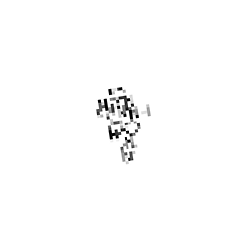 CN1CCN(c2ccc(Nc3nc(N4N=CCC4c4cccnc4)c4sccc4n3)cc2)CC1